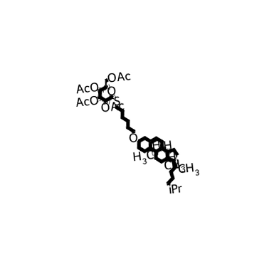 CC(=O)OC[C@H]1O[C@H](SCCCCCCOC2CC[C@@]3(C)C(=CC[C@H]4[C@@H]5CC[C@H]([C@H](C)CCCC(C)C)[C@@]5(C)CC[C@@H]43)C2)[C@@H](OC(C)=O)[C@@H](OC(C)=O)[C@@H]1OC(C)=O